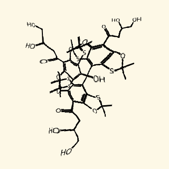 CC1(C)Oc2c(c(C(O)(c3c4c(c(C(=O)CC(O)CO)c5c3SC(C)(C)O5)OC(C)(C)S4)c3c4c(c(C(=O)CC(O)CO)c5c3SC(C)(C)O5)OC(C)(C)S4)c3c(c2C(=O)CC(O)CO)OC(C)(C)S3)S1